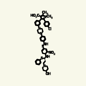 Cc1c(C(=O)O)c(-c2cccc(N3CCN(c4ccc(NSC5=CCC(N[C@H](CCN6CCC(O)CC6)Sc6ccccc6)C([N+](=O)[O-])=C5)cc4)CC3)c2)c(-c2ccc(Cl)cc2)n1C